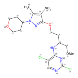 COCC(CCOc1nn(C2CCOCC2)c(C)c1[N+](=O)[O-])Nc1nc(Cl)ncc1Cl